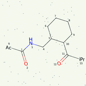 CC(=O)C(=O)NCC1CCCCC1C(=O)C(C)C